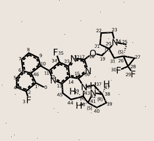 Cc1c(F)ccc2cccc(-c3nc4c5c(nc(OC[C@@]67CCCN6C[C@@]6(CC6(F)F)C7)nc5c3F)N3C[C@H]5CC[C@H](N5)[C@H]3CC4)c12